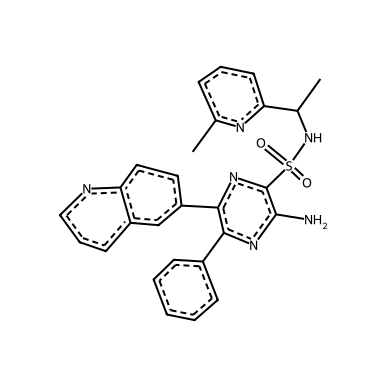 Cc1cccc(C(C)NS(=O)(=O)c2nc(-c3ccc4ncccc4c3)c(-c3ccccc3)nc2N)n1